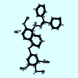 CCOc1ccc2c(Cc3cc(OC)c(OCC)c(OC)c3)cncc2c1NN=C(c1ccccc1)c1ccccc1.Cl